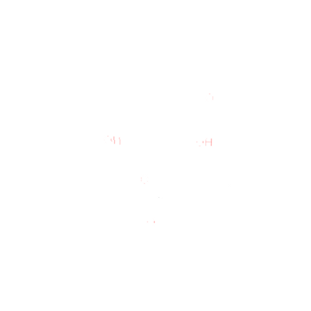 C=C(C)C(=O)O.CC(O)COC(=O)c1ccccc1